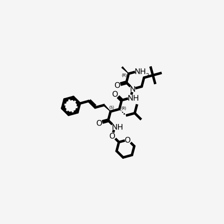 CC(C)C[C@@H](C(=O)NN(CCC(C)(C)C)C(=O)[C@@H](C)N)[C@H](CC=Cc1ccccc1)C(=O)NOC1CCCCO1